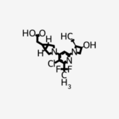 C#C[C@H]1[C@H](O)CN1c1cc(N2C[C@@H]3C(CC(=O)O)[C@@H]3C2)c(Cl)c(C(C)(F)F)n1